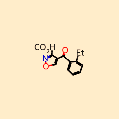 CCc1ccccc1C(=O)c1conc1C(=O)O